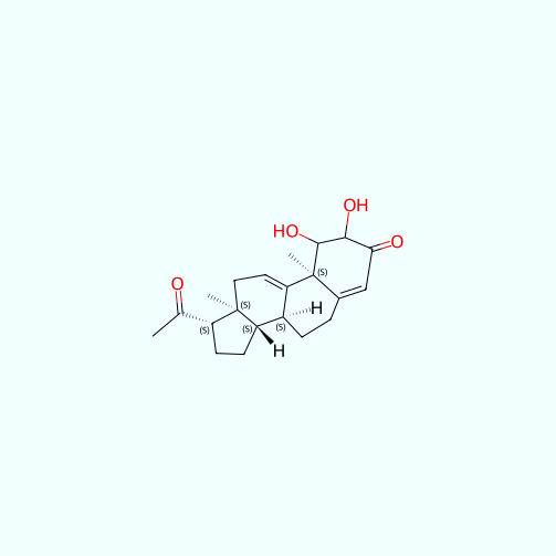 CC(=O)[C@H]1CC[C@H]2[C@@H]3CCC4=CC(=O)C(O)C(O)[C@]4(C)C3=CC[C@]12C